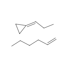 C=CCCCC.CCC=C1CC1